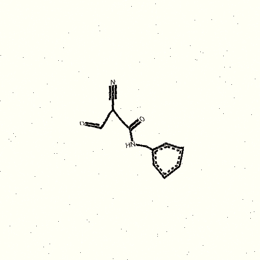 N#CC(C=O)C(=O)Nc1ccccc1